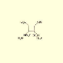 O.O.O=C(O)C1C(C(=O)O)C(C(=O)O)C1C(=O)O